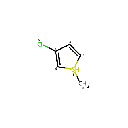 [CH2][SH]1C=CC(Cl)=C1